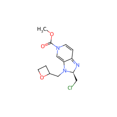 COC(=O)N1C=CC2=N[C@@H](CCl)N(CC3CCO3)C2=C1